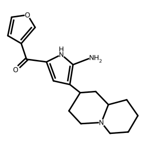 Nc1[nH]c(C(=O)c2ccoc2)cc1C1CCN2CCCCC2C1